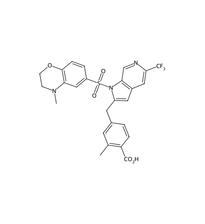 Cc1cc(Cc2cc3cc(C(F)(F)F)ncc3n2S(=O)(=O)c2ccc3c(c2)N(C)CCO3)ccc1C(=O)O